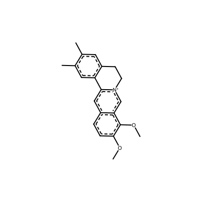 COc1ccc2cc3[n+](cc2c1OC)CCc1cc(C)c(C)cc1-3